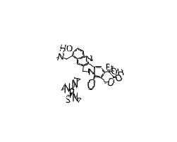 CC[C@@]1(O)C(=O)OCc2c1cc1n(c2=O)Cc2cc3c(CN(C)C)c(O)ccc3nc2-1.S=P(N1CC1)(N1CC1)N1CC1